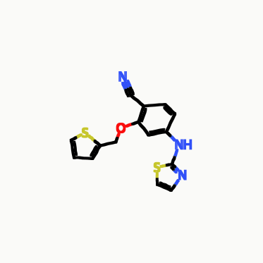 N#Cc1ccc(Nc2nccs2)cc1OCc1cccs1